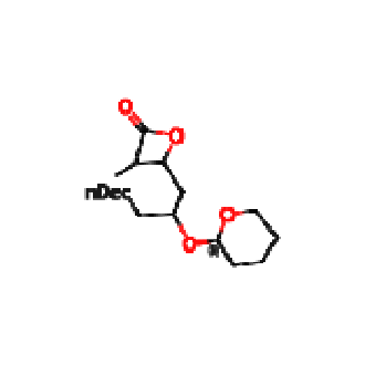 CCCCCCCCCCCC(CC1OC(=O)C1C)O[C@@H]1CCCCO1